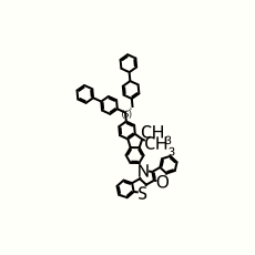 CC1(C)c2cc([C@@H](CC3=CCC(C4C=CC=CC4)C=C3)c3ccc(-c4ccccc4)cc3)ccc2-c2ccc(N3c4c(oc5ccccc45)C4Sc5ccccc5C43)cc21